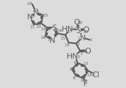 CN1C(C(=O)Nc2ccc(F)c(Cl)c2)CC(c2ncc(-c3cnn(C)c3)s2)NS1(=O)=O